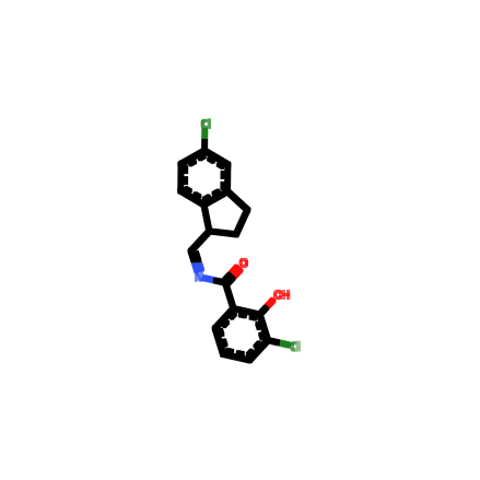 O=C(/N=C\C1CCc2cc(Cl)ccc21)c1cccc(Cl)c1O